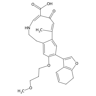 COCCCOc1cc2c(cc1-c1coc3c1C=CCC3)/C(C)=C/C(=O)/C(C(=O)O)=C\NCC2